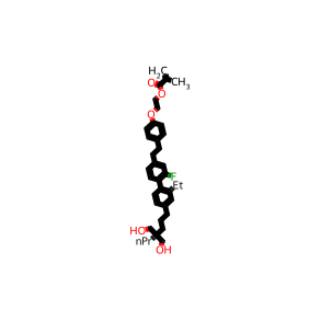 C=C(C)C(=O)OCCOc1ccc(CCc2ccc(-c3ccc(CCCC(CO)(CO)CCC)cc3CC)c(F)c2)cc1